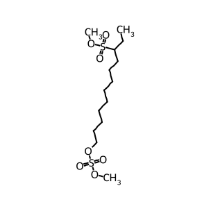 CCC(CCCCCCCCCOS(=O)(=O)OC)S(=O)(=O)OC